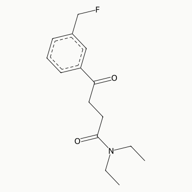 CCN(CC)C(=O)CCC(=O)c1cccc(CF)c1